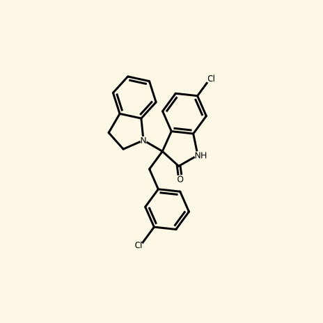 O=C1Nc2cc(Cl)ccc2C1(Cc1cccc(Cl)c1)N1CCc2ccccc21